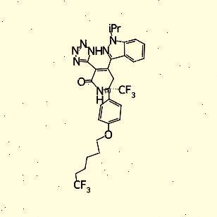 CC(C)n1nc(C2=C(c3nnn[nH]3)C(=O)N[C@@](c3ccc(OCCCCCC(F)(F)F)cc3)(C(F)(F)F)C2)c2ccccc21